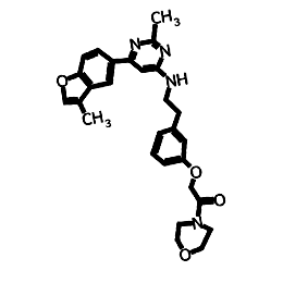 Cc1nc(NCCc2cccc(OCC(=O)N3CCOCC3)c2)cc(-c2ccc3occ(C)c3c2)n1